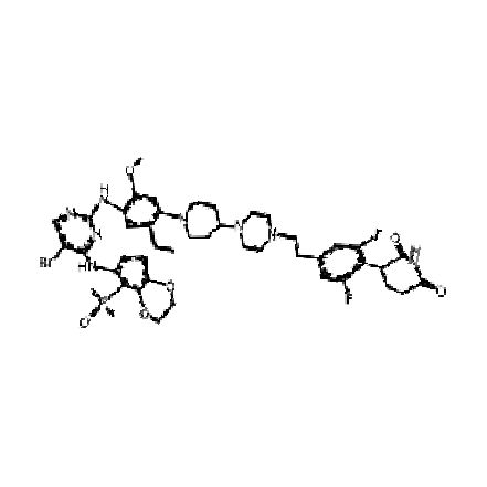 CCc1cc(Nc2ncc(Br)c(Nc3ccc4c(c3P(C)(C)=O)OCCO4)n2)c(OC)cc1N1CCC(N2CCN(CCc3cc(F)c(C4CCC(=O)NC4=O)c(F)c3)CC2)CC1